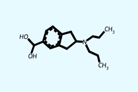 CCCN(CCC)C1Cc2ccc(C(O)O)cc2C1